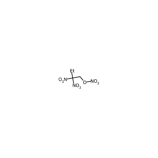 CCC(CO[N+](=O)[O-])([N+](=O)[O-])[N+](=O)[O-]